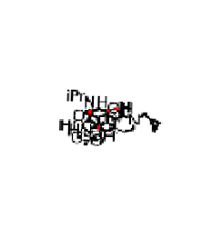 CC(C)NC(=O)C1=C(NS(C)(=O)=O)[C@H](C)[C@]23CCN(CC4CC4)[C@H](Cc4ccc(O)c(O)c42)[C@]3(O)C1